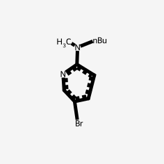 CCCCN(C)c1ccc(Br)cn1